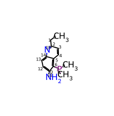 CCc1ccc2c(P(C)C)c(N)ccc2n1